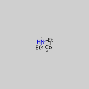 CCNCC.[Co]